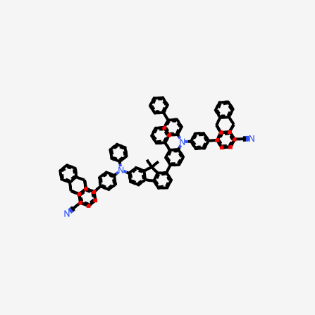 CC1(C)c2cc(N(c3ccccc3)c3ccc(-c4ccc(C#N)c5c4C4c6ccccc6C5c5ccccc54)cc3)ccc2-c2cccc(-c3ccc(N(c4ccc(-c5ccccc5)cc4)c4ccc(-c5ccc(C#N)c6c5C5c7ccccc7C6c6ccccc65)cc4)c(-c4ccccc4)c3)c21